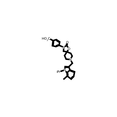 Cc1cccc2c(CN3CCC4(CC3)CN(c3ccc(C(=O)O)cc3)C(=O)O4)cn(C(C)C)c12